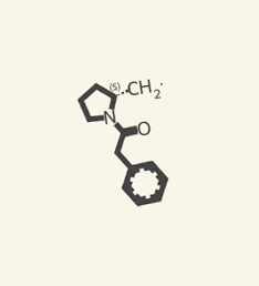 [CH2][C@H]1CCCN1C(=O)Cc1ccccc1